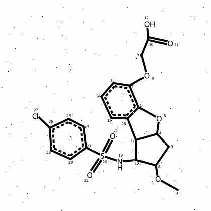 COC1CC2Oc3c(OCC(=O)O)cccc3C2C1NS(=O)(=O)c1ccc(Cl)cc1